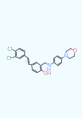 Oc1ccc(/C=C/c2ccc(Cl)c(Cl)c2)cc1CNc1ccc(N2CCOCC2)cc1